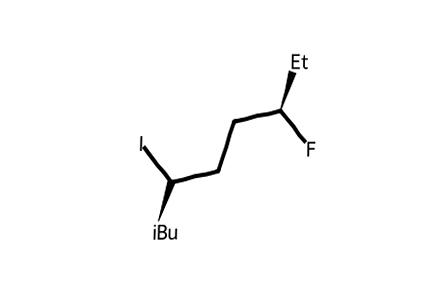 CC[C@@H](F)CCC(I)[C@H](C)CC